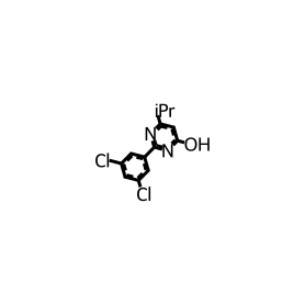 CC(C)c1cc(O)nc(-c2cc(Cl)cc(Cl)c2)n1